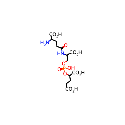 NC(CCC(=O)NC(COP(=O)(O)OC(CCC(=O)O)C(=O)O)C(=O)O)C(=O)O